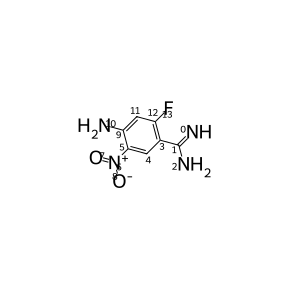 N=C(N)c1cc([N+](=O)[O-])c(N)cc1F